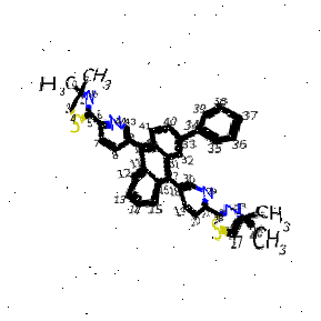 CC1(C)CSC(c2ccc(-c3c4ccccc4c(-c4ccc(C5=NC(C)(C)CS5)nc4)c4cc(-c5ccccc5)ccc34)cn2)=N1